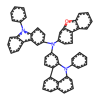 c1ccc(N2c3cc(N(c4ccc5c(c4)oc4ccccc45)c4ccc5c(c4)c4ccccc4n5-c4ccccc4)ccc3-c3cccc4cccc2c34)cc1